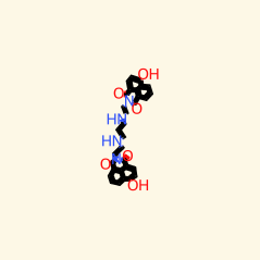 O=C1c2cccc3c(O)ccc(c23)C(=O)N1CCNCCCNCCN1C(=O)c2cccc3c(O)ccc(c23)C1=O